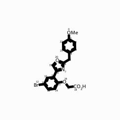 COc1ccc(Cc2nc(-c3cc(Br)ccc3OCC(=O)O)co2)cc1